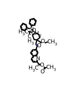 CCOC(=O)C1(/C=C/c2ccc3ccc([C@@H](C)OC(C)=O)nc3c2)CCC(O[Si](c2ccccc2)(c2ccccc2)C(C)(C)C)CC1